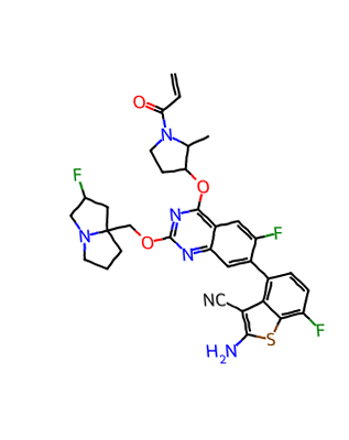 C=CC(=O)N1CCC(Oc2nc(OCC34CCCN3CC(F)C4)nc3cc(-c4ccc(F)c5sc(N)c(C#N)c45)c(F)cc23)C1C